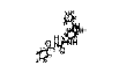 O=C(CNC(=O)c1nc2cc3c(-c4ccncc4)n[nH]c3cc2[nH]1)c1ccccc1